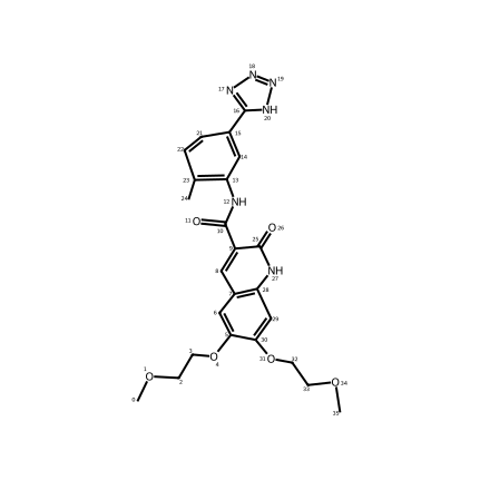 COCCOc1cc2cc(C(=O)Nc3cc(-c4nnn[nH]4)ccc3C)c(=O)[nH]c2cc1OCCOC